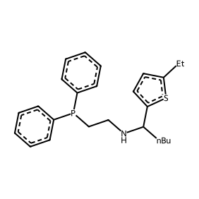 CCCCC(NCCP(c1ccccc1)c1ccccc1)c1ccc(CC)s1